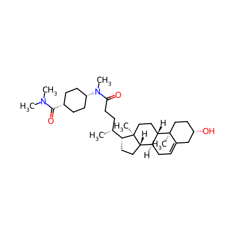 C[C@H](CCC(=O)N(C)[C@H]1CC[C@@H](C(=O)N(C)C)CC1)[C@H]1CC[C@H]2[C@@H]3CC=C4C[C@@H](O)CC[C@]4(C)[C@H]3CC[C@]12C